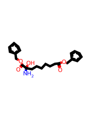 NC(O)(CCCCCCC(=O)OCc1ccccc1)C(=O)OCc1ccccc1